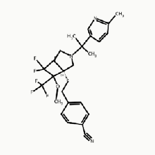 COC(C(F)(F)F)(C(F)(F)F)[C@@]1(CCc2ccc(C#N)cc2)CCN(C(C)(C)c2ccc(C)nc2)C1